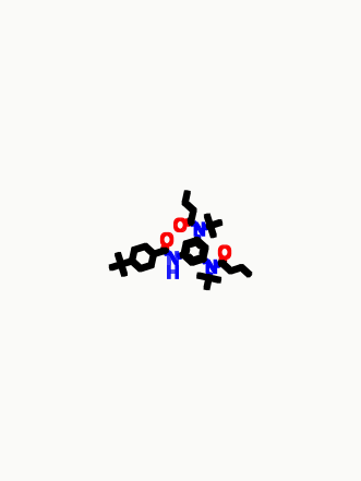 CCCC(=O)N(c1cc(NC(=O)C2CCC(C(C)(C)C)CC2)cc(N(C(=O)CCC)C(C)(C)C)c1)C(C)(C)C